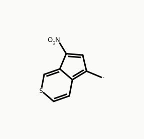 [CH2]c1cc([N+](=O)[O-])c2csccc1-2